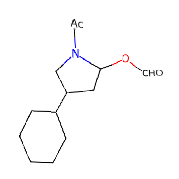 CC(=O)N1CC(C2CCCCC2)CC1OC=O